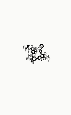 CC(C)n1cnc2cc(-c3cnc4c(c3)N(C3CC(C)(N5CCCCC5)C3)C(=O)C4(C)C)nc(Nc3cc(C(=O)NC4(C(F)F)CC4)c(Cl)c(F)c3F)c21